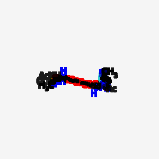 CC(=O)Nc1cc(NCCOCCOCCOCCOCCOCCOCCNC(=O)CN2CCC(n3nc(N4CCCc5cc(-c6cnn(C)c6)c(C(F)F)cc54)c4c3CCN(C(C)=O)C4)CC2)ccc1C(=O)Nc1nc(C)c([N+](=O)[O-])s1